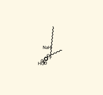 CCCCCCCCCCCCCCCCCC(CCCCCCC)=C(F)Oc1ccc(S(=O)(=O)O)cc1.[NaH]